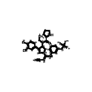 CCN(C(=O)[C@H]1CCCN1)[C@H]1CN(C(=NC#N)Nc2cccc(CC(F)(F)F)c2)N=C1c1ccc(Cl)c(Cl)c1